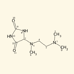 CN(C)CCN(C)C1NC(=O)NC1=O